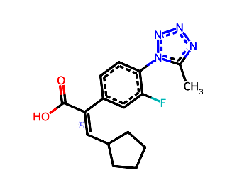 Cc1nnnn1-c1ccc(/C(=C\C2CCCC2)C(=O)O)cc1F